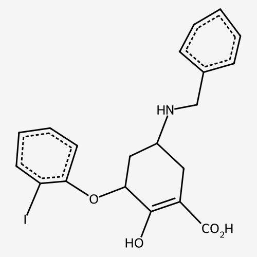 O=C(O)C1=C(O)C(Oc2ccccc2I)CC(NCc2ccccc2)C1